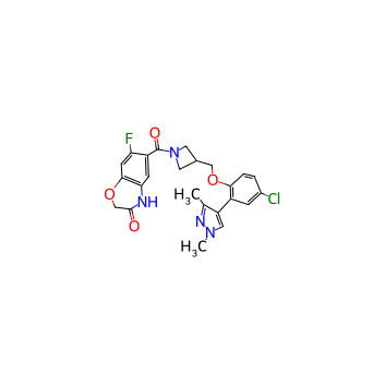 Cc1nn(C)cc1-c1cc(Cl)ccc1OCC1CN(C(=O)c2cc3c(cc2F)OCC(=O)N3)C1